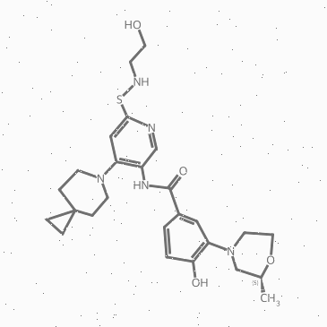 C[C@H]1CN(c2cc(C(=O)Nc3cnc(SNCCO)cc3N3CCC4(CC3)CC4)ccc2O)CCO1